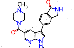 CN1CCN(C(=O)c2cnc3[nH]cc(-c4ccc5c(c4)CNC5=O)c3c2)CC1